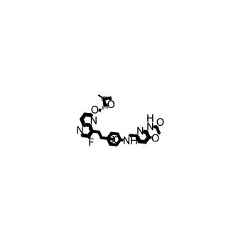 C[C@H]1CO[C@@H]1COc1ccc2ncc(F)c(CCC34CCC(NCc5ccc6c(n5)NC(=O)CO6)(CC3)CO4)c2n1